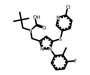 Cc1c(F)cccc1-n1nc(CN(CC(C)(C)C)C(=O)O)cc1Sc1ccc(Cl)nc1